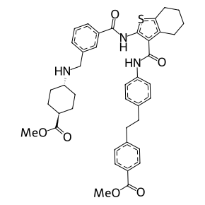 COC(=O)c1ccc(CCc2ccc(NC(=O)c3c(NC(=O)c4cccc(CN[C@H]5CC[C@H](C(=O)OC)CC5)c4)sc4c3CCCC4)cc2)cc1